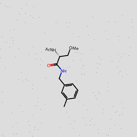 COC[C@@H](NC(C)=O)C(=O)NCc1cccc(C)c1